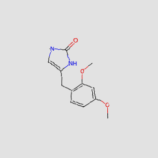 COc1ccc(CC2=C[N]C(=O)N2)c(OC)c1